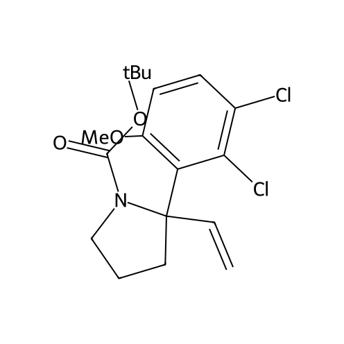 C=CC1(c2c(OC)ccc(Cl)c2Cl)CCCN1C(=O)OC(C)(C)C